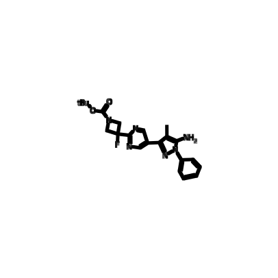 Cc1c(-c2cnc(C3(F)CN(C(=O)OC(C)(C)C)C3)nc2)nn(-c2ccccc2)c1N